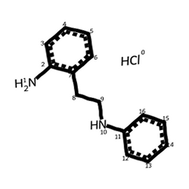 Cl.Nc1ccccc1CCNc1ccccc1